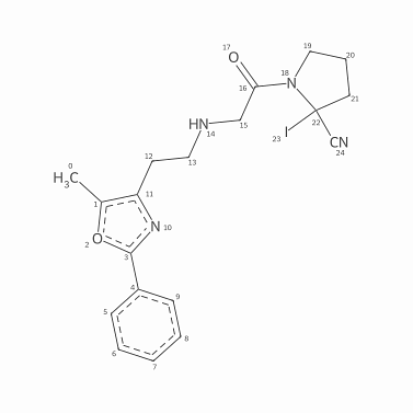 Cc1oc(-c2ccccc2)nc1CCNCC(=O)N1CCCC1(I)C#N